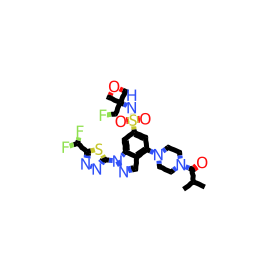 CC(C)C(=O)N1CCN(c2cc(S(=O)(=O)NC3(CF)COC3)cc3c2cnn3-c2nnc(C(F)F)s2)CC1